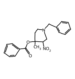 CC1(OC(=O)c2ccccc2)CCN(Cc2ccccc2)CC1[N+](=O)[O-]